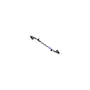 O=C(C=CCCCCCC/C=C/C(=O)OCC1COC(=O)O1)OCC1COC(=O)O1